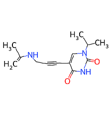 C=C(C)NCC#Cc1cn(C(C)C)c(=O)[nH]c1=O